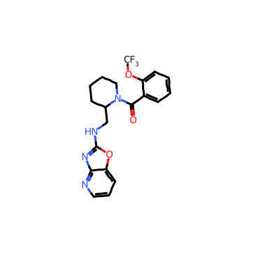 O=C(c1ccccc1OC(F)(F)F)N1CCCCC1CNc1nc2ncccc2o1